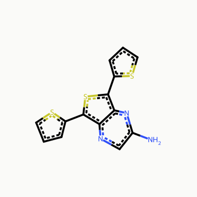 Nc1cnc2c(-c3cccs3)sc(-c3cccs3)c2n1